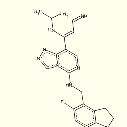 CC(C)N/C(=C\C=N)c1cnc(NCc2c(F)ccc3c2CCO3)n2cnnc12